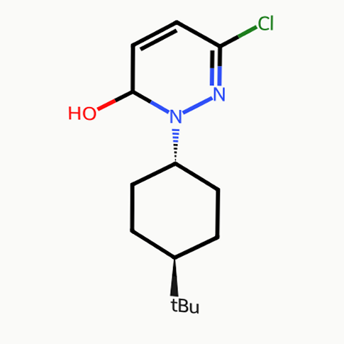 CC(C)(C)[C@H]1CC[C@H](N2N=C(Cl)C=CC2O)CC1